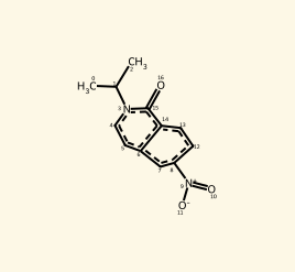 CC(C)n1ccc2cc([N+](=O)[O-])ccc2c1=O